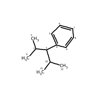 CC(C)C(c1c[c]ccc1)C(C)C